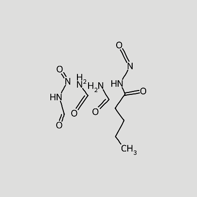 CCCCC(=O)NN=O.NC=O.NC=O.O=CNN=O